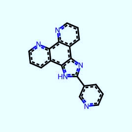 c1cncc(-c2nc3c4cccnc4c4ncccc4c3[nH]2)c1